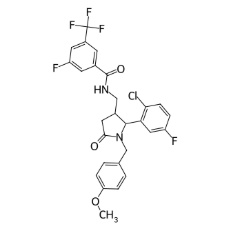 COc1ccc(CN2C(=O)CC(CNC(=O)c3cc(F)cc(C(F)(F)F)c3)C2c2cc(F)ccc2Cl)cc1